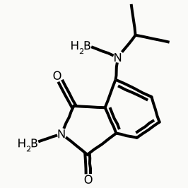 BN1C(=O)c2cccc(N(B)C(C)C)c2C1=O